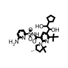 C[C@@H]1CN(c2nc(C(C)(C)C)c(C(O)C(O)C3CCCC3)cc2C(=O)NS(=O)(=O)c2cccc(N)n2)C(C)(C)C1